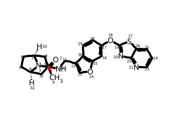 CC(=O)N1[C@@H]2CC[C@H]1CC(NCc1coc3cc(Oc4nc5ncccc5s4)ccc13)C2